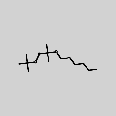 CCCCCCOC(C)(C)OOC(C)(C)C